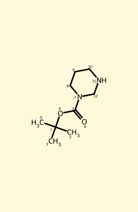 CC(C)(C)OC(=O)N1CCCNC1